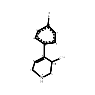 Fc1ccc(C2=CCNCC2F)cc1